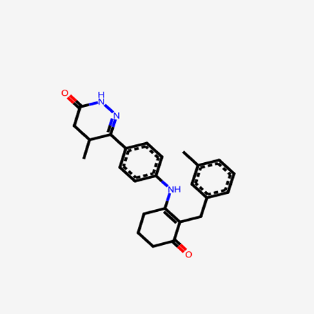 Cc1cccc(CC2=C(Nc3ccc(C4=NNC(=O)CC4C)cc3)CCCC2=O)c1